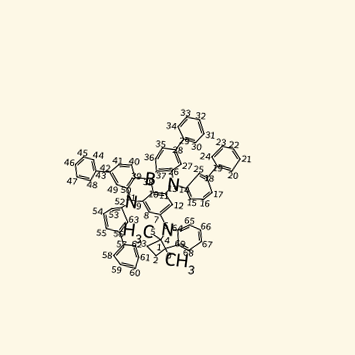 CC12CCC1(C)N(c1cc3c4c(c1)N(c1cccc(-c5ccccc5)c1)c1cc(-c5ccccc5)ccc1B4c1ccc(-c4ccccc4)cc1N3c1cccc(-c3ccccc3)c1)c1ccccc12